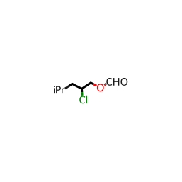 CC(C)CC(Cl)COC=O